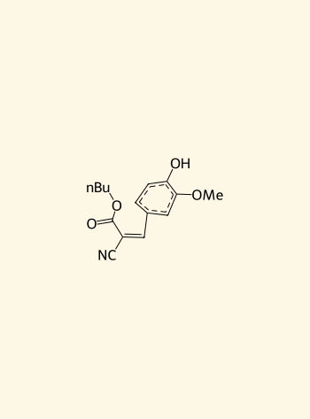 CCCCOC(=O)C(C#N)=Cc1ccc(O)c(OC)c1